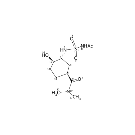 CC(=O)NS(=O)(=O)N[C@@H]1C[C@@H](C(=O)N(C)C)CC[C@H]1O